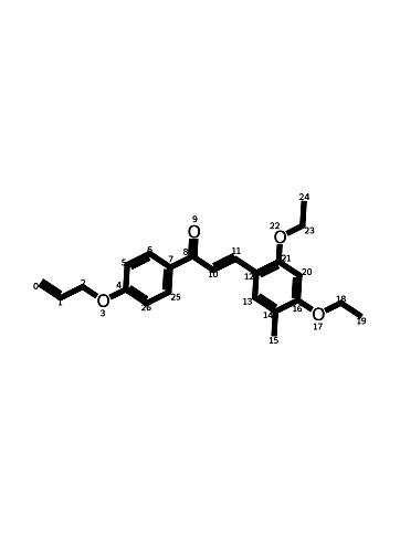 C=CCOc1ccc(C(=O)C=Cc2cc(C)c(OCC)cc2OCC)cc1